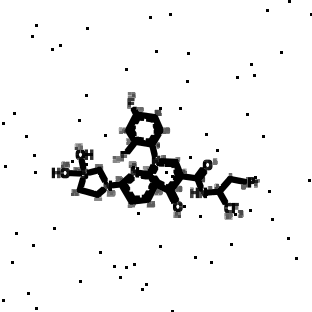 CC(C)CC(NC(=O)c1cn(-c2ccc(F)cc2F)c2nc(N3CCS(O)(O)C3)ccc2c1=O)C(F)(F)F